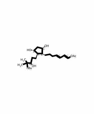 CCCCC(C)(C)[C@H](O)CC[C@@H]1[C@@H](CCC/C=C/C=C/OC(C)=O)[C@@H](O)C[C@H]1O